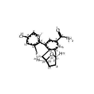 NC(=O)c1cc(-c2ncc(Cl)cc2F)c2c(n1)[C@H]1CC[C@@H](C2)O1